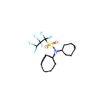 O=S(=O)(N(C1CCCCC1)C1CCCCC1)C(F)(F)C(F)(F)C(F)F